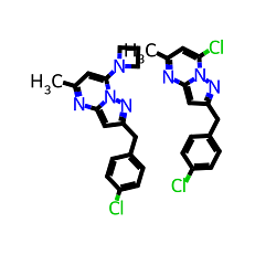 Cc1cc(Cl)n2nc(Cc3ccc(Cl)cc3)cc2n1.Cc1cc(N2CCC2)n2nc(Cc3ccc(Cl)cc3)cc2n1